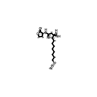 [N-]=[N+]=NCCCCCCCCCC1(CC(=N)N[C@H]2CCOC2=O)NN1